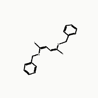 I/C(=C/C=C(/I)SCc1ccccc1)SCc1ccccc1